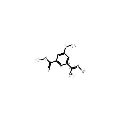 COC(=O)c1cc(OC)cc(/C(N)=N/O)c1